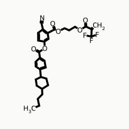 C=C(C(=O)OCCCOC(=O)c1cc(OC(=O)c2ccc(C3CCC(CCCC)CC3)cc2)ccc1C#N)C(F)(F)F